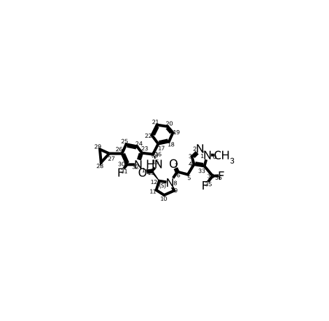 Cn1ncc(CC(=O)N2CCC[C@H]2C(=O)N[C@@H](c2ccccc2)c2ccc(C3CC3)c(F)n2)c1C(F)F